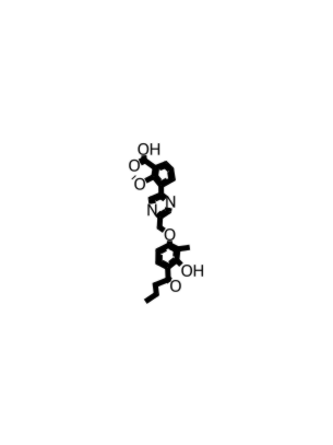 CCCC(=O)c1ccc(OCc2cnc(-c3cccc(C(=O)O)c3OC)cn2)c(C)c1O